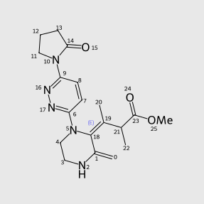 C=C1NCCN(c2ccc(N3CCCC3=O)nn2)/C1=C(\C)C(C)C(=O)OC